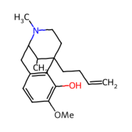 C=CCCC12CCN(C)C(Cc3ccc(OC)c(O)c31)C2C